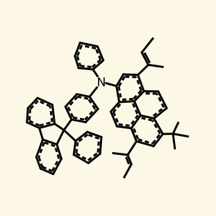 C/C=C(\C)c1cc(N(c2ccccc2)c2ccc(C3(c4ccccc4)c4ccccc4-c4ccccc43)cc2)c2ccc3c(/C(C)=C/C)cc(C(C)(C)C)c4ccc1c2c34